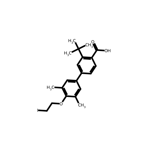 Cc1cc(-c2ccc(C(=O)O)c(C(C)(C)C)c2)cc(C)c1OCCI